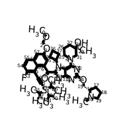 COCOc1cc(C(=O)c2nc3nc(OC[C@@H]4CCCN4C)nc(N4CCC[C@@](C)(O)C4)c3n2C2CCC2)c2c(C#C[Si](C(C)C)(C(C)C)C(C)C)c(F)ccc2c1